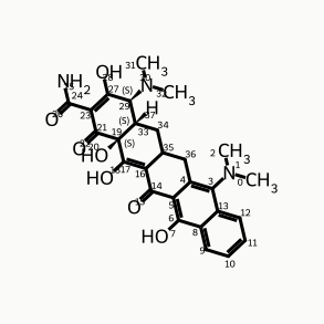 CN(C)c1c2c(c(O)c3ccccc13)C(=O)C1=C(O)[C@]3(O)C(=O)C(C(N)=O)=C(O)[C@@H](N(C)C)[C@@H]3CC1C2